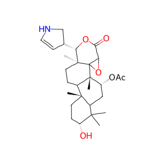 CC(=O)O[C@@H]1CC2C(C)(C)[C@H](O)CC[C@]2(C)C2CC[C@@]3(C)[C@H](C4C=CNC4)OC(=O)C4OC43[C@@]21C